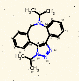 CC(C)N1Cc2ccccc2-c2c(nnn2C(C)C)-c2ccccc21